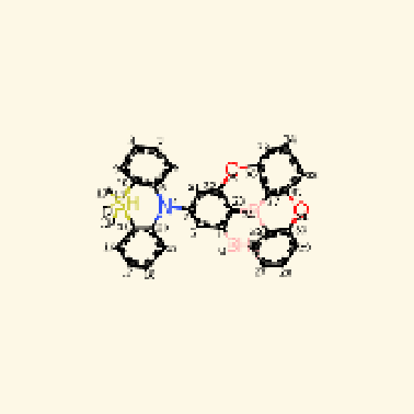 Bc1cc(N2c3ccccc3[SH](C)(C)(C)c3ccccc32)cc2c1B1c3ccccc3Oc3cccc(c31)O2